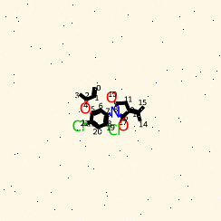 C=CC(C)Oc1cc(N2C(=O)CC(=C(C)C)C2=O)c(Cl)cc1Cl